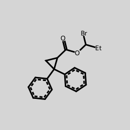 CCC(Br)OC(=O)C1CC1(c1ccccc1)c1ccccc1